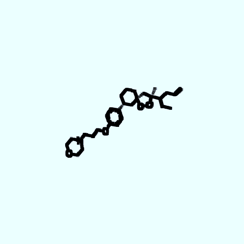 C=CCC(CC)[C@]1(C)C[C@]2(CCC[C@@H](c3ccc(OCCCN4CCOCC4)cc3)C2)OO1